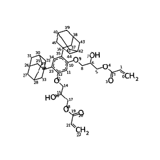 C=CC(=O)OCC(O)COc1cc(OCC(O)COC(=O)C=C)c(C23CC4CC(CC(C4)C2)C3)cc1C12CC3CC(CC(C3)C1)C2